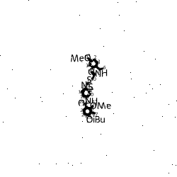 COc1ccc(C(C)NC(=O)CSc2nc3ccc(NC(=O)c4ccc(OCC(C)C)c(C)c4OC)cc3s2)cc1